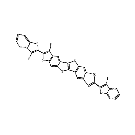 Fc1c(-c2cc3cc4c(cc3s2)sc2c3cc5c(F)c(-c6sc7ccccc7c6F)sc5cc3sc42)sc2ccccc12